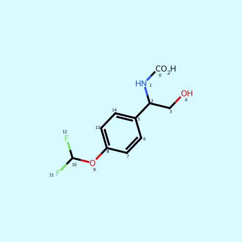 O=C(O)NC(CO)c1ccc(OC(F)F)cc1